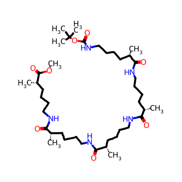 COC(=O)[C@@H](C)CCCCNC(=O)[C@@H](C)CCCCNC(=O)[C@@H](C)CCCCNC(=O)[C@@H](C)CCCCNC(=O)[C@@H](C)CCCCNC(=O)OC(C)(C)C